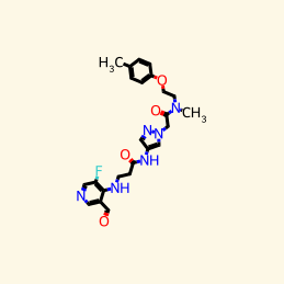 Cc1ccc(OCCN(C)C(=O)Cn2cc(NC(=O)CCNc3c(F)cncc3C=O)cn2)cc1